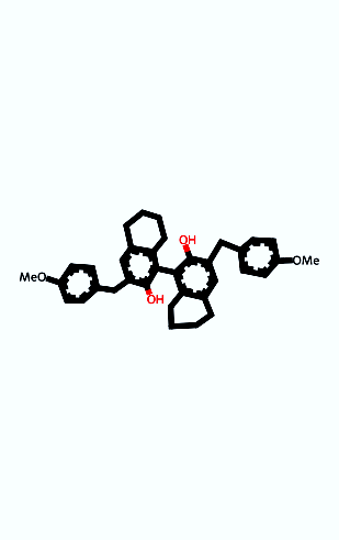 COc1ccc(Cc2cc3c(c(-c4c(O)c(Cc5ccc(OC)cc5)cc5c4CCCC5)c2O)CCCC3)cc1